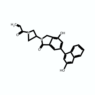 C=CC(=O)N1CC(N2Cc3c(O)cc(-c4cc(O)cc5ccccc45)cc3C2=O)C1